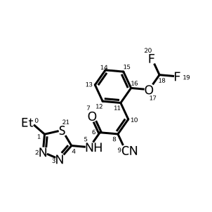 CCc1nnc(NC(=O)C(C#N)=Cc2ccccc2OC(F)F)s1